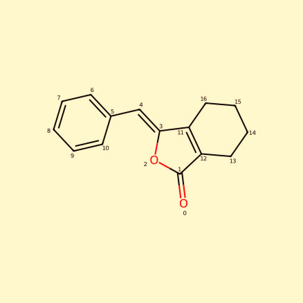 O=C1OC(=Cc2ccccc2)C2=C1CCCC2